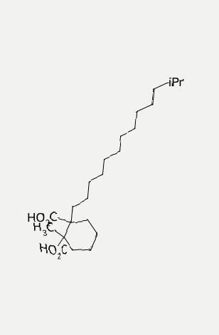 CC(C)CCCCCCCCCCCC1(C(=O)O)CCCCC1(C)C(=O)O